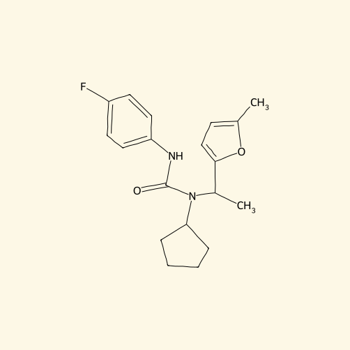 Cc1ccc(C(C)N(C(=O)Nc2ccc(F)cc2)C2CCCC2)o1